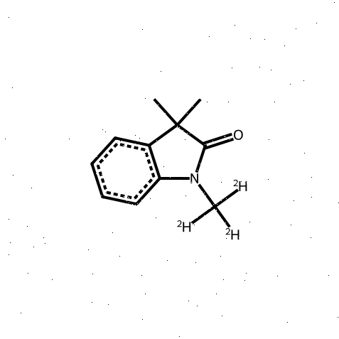 [2H]C([2H])([2H])N1C(=O)C(C)(C)c2ccccc21